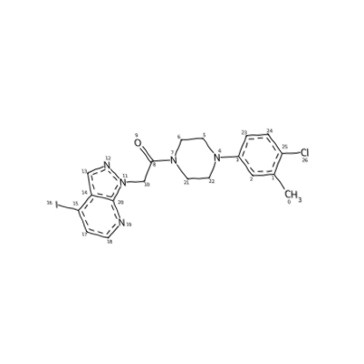 Cc1cc(N2CCN(C(=O)Cn3ncc4c(I)ccnc43)CC2)ccc1Cl